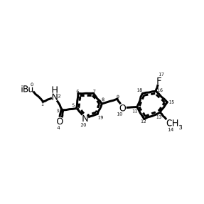 CCC(C)CNC(=O)c1ccc(COc2cc(C)cc(F)c2)cn1